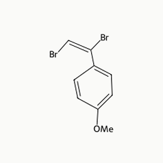 COc1ccc(/C(Br)=C\Br)cc1